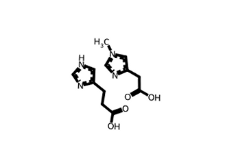 Cn1cnc(CC(=O)O)c1.O=C(O)CCc1c[nH]cn1